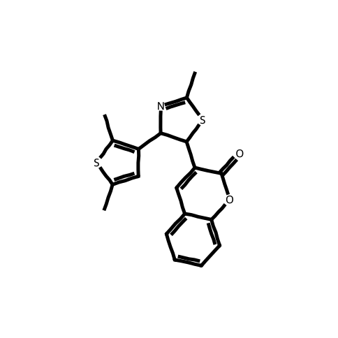 CC1=NC(c2cc(C)sc2C)C(c2cc3ccccc3oc2=O)S1